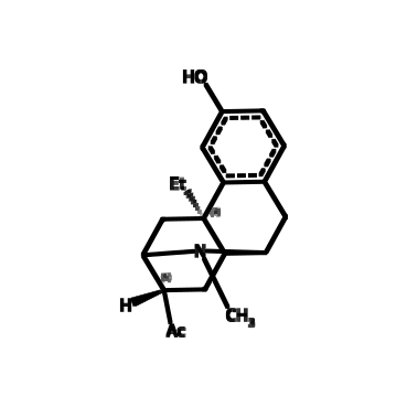 CC[C@@]12CC3[C@@H](C(C)=O)CC1C(Cc1ccc(O)cc12)N3C